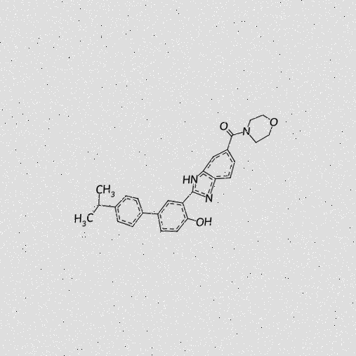 CC(C)c1ccc(-c2ccc(O)c(-c3nc4ccc(C(=O)N5CCOCC5)cc4[nH]3)c2)cc1